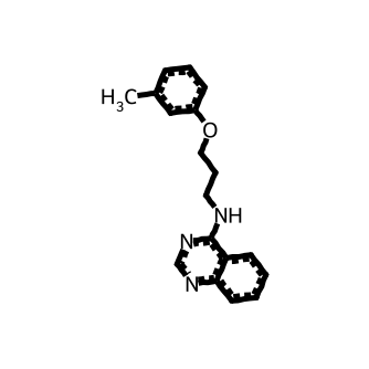 Cc1cccc(OCCCNc2ncnc3ccccc23)c1